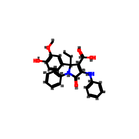 CCC1(c2ccc(O)c(OC)c2)C(C(=O)O)=C(Nc2ccccc2)C(=O)N1c1ccccc1